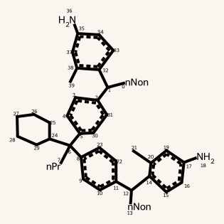 CCCCCCCCCC(c1ccc(C(CCC)(c2ccc(C(CCCCCCCCC)c3ccc(N)cc3C)cc2)C2CCCCC2)cc1)c1ccc(N)cc1C